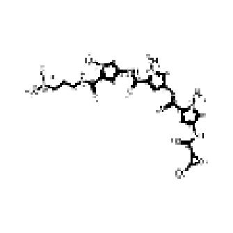 CC1OC1C(=O)Nc1cc(C(=O)Nc2cc(C(=O)Nc3cc(C(=O)NCCCN(C)C)n(C)c3)n(C)c2)n(C)c1